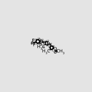 CC(=O)Oc1cc(C)cc(CN2CCN(c3nc4ccc(C(F)(F)F)cc4s3)[C@H](C)C2)c1